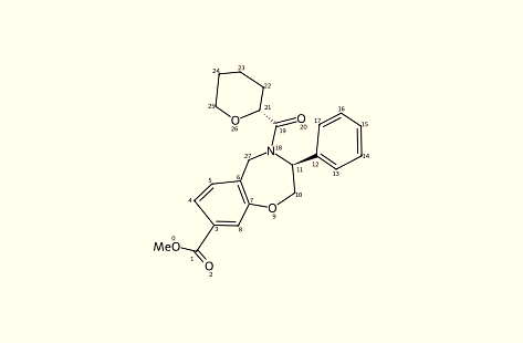 COC(=O)c1ccc2c(c1)OC[C@H](c1ccccc1)N(C(=O)[C@H]1CCCCO1)C2